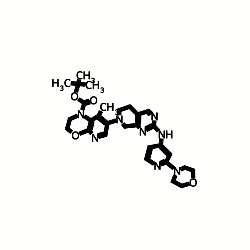 Cc1c(N2CCc3cnc(Nc4ccnc(N5CCOCC5)c4)nc3C2)cnc2c1N(C(=O)OC(C)(C)C)CCO2